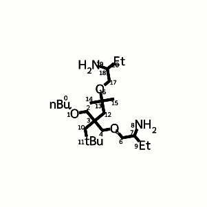 CCCCOCC(COCC(N)CC)(CC(C)(C)C)CC(C)(C)OCC(N)CC